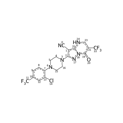 N#Cc1c(N2CCN(c3ccc(C(F)(F)F)cc3Cl)CC2)nn2c(=O)c(C(F)(F)F)c[nH]c12